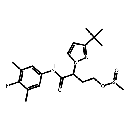 Cc1cc(NC(=O)C(CCOS(C)=O)n2ccc(C(C)(C)C)n2)cc(C)c1F